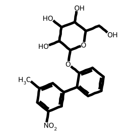 Cc1cc(-c2ccccc2OC2OC(CO)C(O)C(O)C2O)cc([N+](=O)[O-])c1